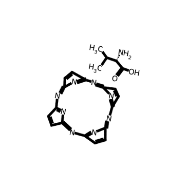 C1=C/C2=N/C3=NC(=N\C4=NC(=N\C5=NC(=N\C1=N2)/C=C5)/C=C4)/C=C3.CC(C)[C@H](N)C(=O)O